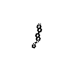 CN1C=c2ccc(=c3ccc4c(c3)CCN(CCN3CCCC3)C=4)cc2CC1